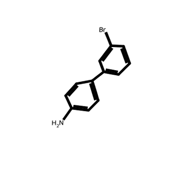 Nc1ccc(-c2cccc(Br)c2)cc1